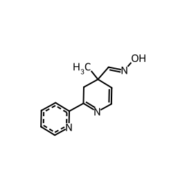 CC1(C=NO)C=CN=C(c2ccccn2)C1